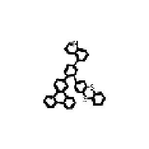 c1ccc2c(c1)Sc1ccc(-c3cc(-c4cccc5ncccc45)ccc3-c3ccc4c5ccccc5c5ccccc5c4c3)cc1S2